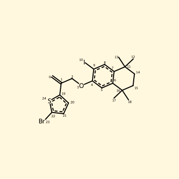 C=C(COc1cc2c(cc1I)C(C)(C)CCC2(C)C)c1ccc(Br)s1